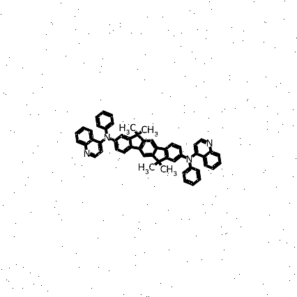 CC1(C)c2cc(N(c3ccccc3)c3ccnc4ccccc34)ccc2-c2cc3c(cc21)-c1ccc(N(c2ccccc2)c2ccnc4ccccc24)cc1C3(C)C